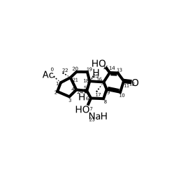 CC(=O)[C@H]1CCC2[C@H]3C(O)CC4=CC(=O)C=C(O)[C@]4(C)[C@@H]3CC[C@@]21C.[NaH]